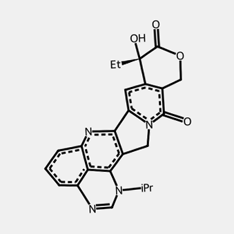 CC[C@@]1(O)C(=O)OCc2c1cc1n(c2=O)Cc2c-1nc1cccc3c1c2N(C(C)C)C=N3